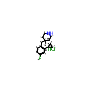 Cl.N#CC1(Cc2ccc(F)cc2C2CC2)CCNCC1